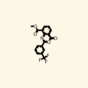 COC(=O)c1cccc2c(=O)oc(-c3cccc(C(F)(F)F)c3)nc12